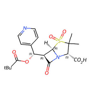 CC(C)(C)C(=O)O[C@H](c1ccncc1)[C@@H]1C(=O)N2[C@@H](C(=O)O)C(C)(C)S(=O)(=O)[C@H]12